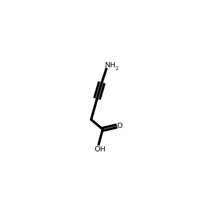 NC#CCC(=O)O